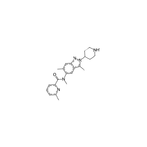 Cc1cccc(C(=O)N(C)c2cc3c(C)n(C4CCNCC4)nc3cc2C)n1